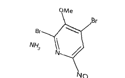 COc1c(Br)cc([N+](=O)[O-])nc1Br.N